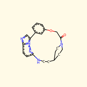 O=C1COc2cccc(c2)-c2cnc3ccc(nn23)NCCC2CCN1CC2